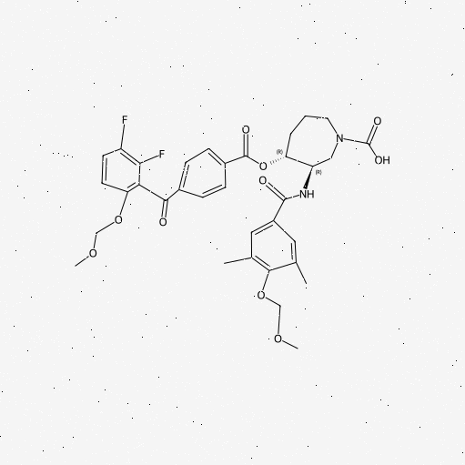 COCOc1ccc(F)c(F)c1C(=O)c1ccc(C(=O)O[C@@H]2CCCN(C(=O)O)C[C@H]2NC(=O)c2cc(C)c(OCOC)c(C)c2)cc1